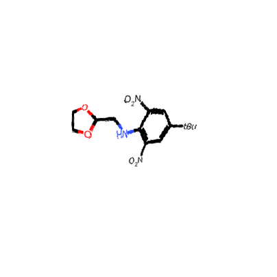 CC(C)(C)c1cc([N+](=O)[O-])c(NCC2OCCO2)c([N+](=O)[O-])c1